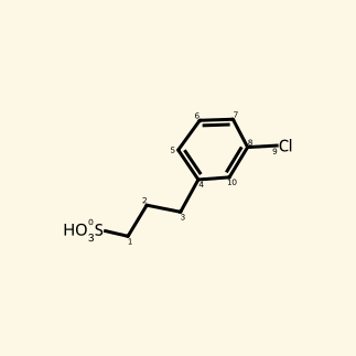 O=S(=O)(O)CCCc1cccc(Cl)c1